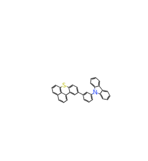 c1cc(-c2ccc3c(c2)-c2cccc4cccc(c24)S3)cc(-n2c3ccccc3c3ccccc32)c1